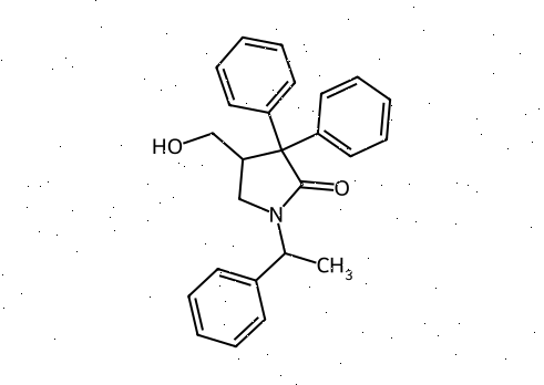 CC(c1ccccc1)N1CC(CO)C(c2ccccc2)(c2ccccc2)C1=O